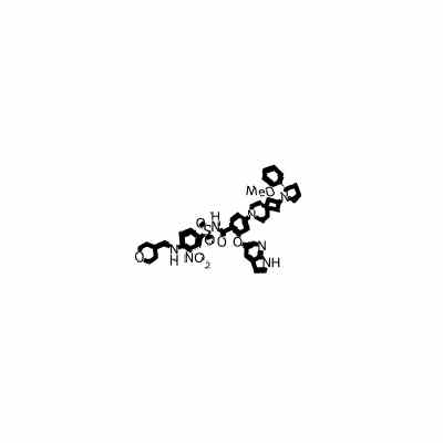 COc1ccccc1[C@@H]1CCCN1C1CC2(CCN(c3ccc(C(=O)NS(=O)(=O)c4ccc(NCC5CCOCC5)c([N+](=O)[O-])c4)c(Oc4cnc5[nH]ccc5c4)c3)CC2)C1